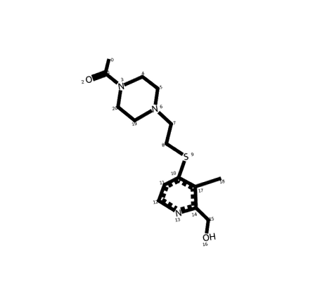 CC(=O)N1CCN(CCSc2ccnc(CO)c2C)CC1